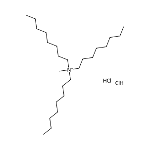 CCCCCCCC[N+](C)(CCCCCCCC)CCCCCCCC.Cl.Cl